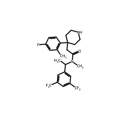 Cc1cc(F)ccc1C1(CC(=O)N(C)C(C)c2cc(C(F)(F)F)cc(C(F)(F)F)c2)CCNCC1